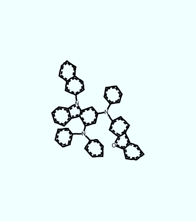 c1ccc(N(c2ccc3c(c2)oc2ccccc23)c2cc(N(c3ccccc3)c3ccccc3)c3c4ccccc4n(-c4ccc5ccccc5c4)c3c2)cc1